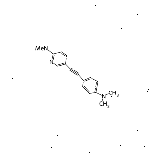 CNc1ccc(C#Cc2ccc(N(C)C)cc2)cn1